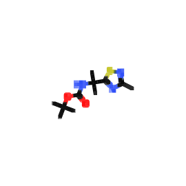 Cc1nsc(C(C)(C)NC(=O)OC(C)(C)C)n1